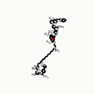 CNC(=O)c1nc(N2CCCc3c2nnc(Nc2nc4ccccc4s2)c3C)ccc1-c1cnn(CC23CC4(C)CC(C)(C2)CC(OCCN(C)CCCCCCCCCCCCCC(=O)N[C@H](C(=O)N2C[C@H](O)C[C@H]2C(=O)N[C@@H](C)c2ccc(-c5scnc5C)cc2)C(C)(C)C)(C4)C3)c1C